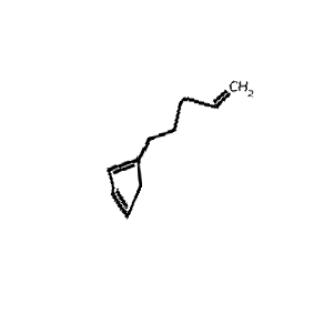 C=CCCCC1=CC=CC1